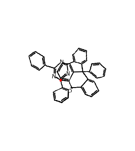 O=C1c2ccccc2C(c2ccccc2)(c2ccccc2-c2nc(-c3ccccc3)nc(-c3ccccc3)n2)c2ccccc21